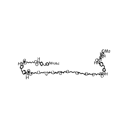 COSP(I)BSOC(=O)Nc1ccc(Cc2ccc(NC(=O)OCCCCOCCCCOCCCCOCCCCOCCCCOCCCCOCCCCOCCCCOCCCCOC(=O)Nc3ccc(Cc4ccc(NC(=O)OCCCCCCOC(=O)Nc5ccc(Cc6ccc(NC(C)=O)cc6)cc5)cc4)cc3)cc2)cc1